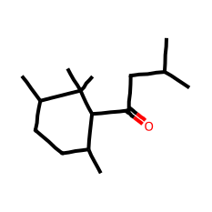 CC(C)CC(=O)C1C(C)CCC(C)C1(C)C